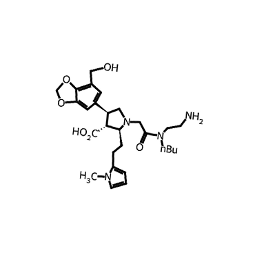 CCCCN(CCN)C(=O)CN1C[C@H](c2cc(CO)c3c(c2)OCO3)[C@@H](C(=O)O)[C@@H]1CCc1cccn1C